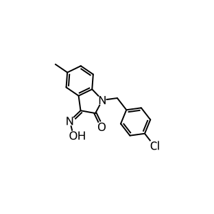 Cc1ccc2c(c1)/C(=N/O)C(=O)N2Cc1ccc(Cl)cc1